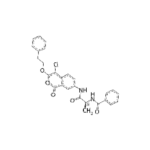 C[C@H](NC(=O)c1ccccc1)C(=O)Nc1ccc2c(Cl)c(OCCc3ccccc3)oc(=O)c2c1